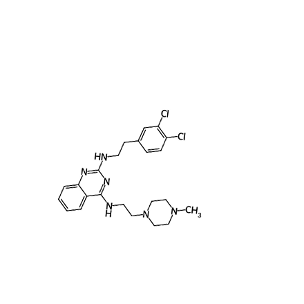 CN1CCN(CCNc2nc(NCCc3ccc(Cl)c(Cl)c3)nc3ccccc23)CC1